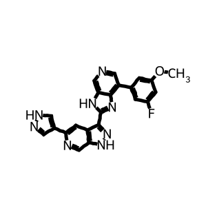 COc1cc(F)cc(-c2cncc3[nH]c(-c4n[nH]c5cnc(-c6cn[nH]c6)cc45)nc23)c1